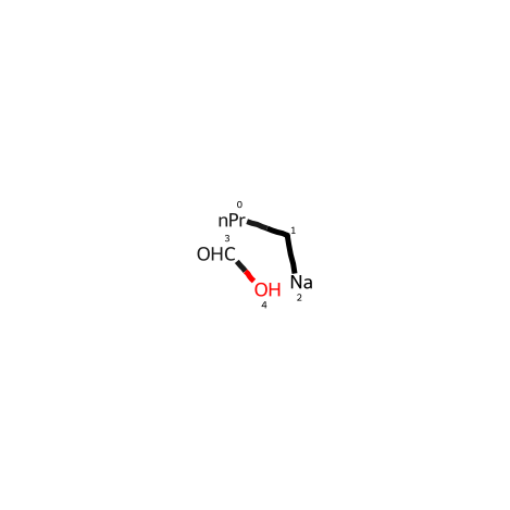 CCC[CH2][Na].O=CO